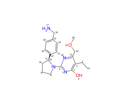 CCc1c(O)nc(N2CCC[C@H]2c2ccc(CN)cc2)nc1COC